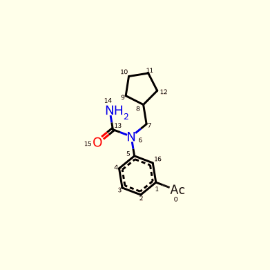 CC(=O)c1cccc(N(CC2CCCC2)C(N)=O)c1